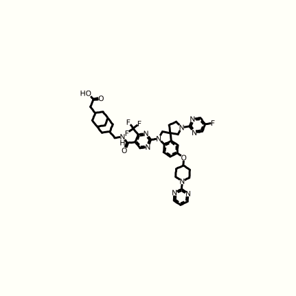 O=C(O)CC1CC2CC(CNC(=O)c3cnc(N4CC5(CCN(c6ncc(F)cn6)C5)c5cc(OC6CCN(c7ncccn7)CC6)ccc54)nc3C(F)(F)F)CC(C1)C2